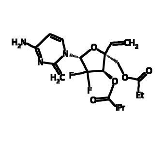 C=C[C@]1(COC(=O)CC)O[C@@H](N2C=CC(N)=NC2=C)C(F)(F)[C@@H]1OC(=O)C(C)C